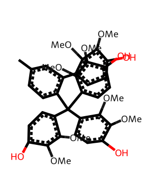 COc1c(O)ccc(-c2cc(C)ccc2C(c2ccc(O)c(OC)c2OC)(c2ccc(O)c(OC)c2OC)c2ccc(O)c(OC)c2OC)c1OC